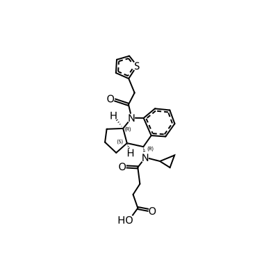 O=C(O)CCC(=O)N(C1CC1)[C@H]1c2ccccc2N(C(=O)Cc2cccs2)[C@@H]2CCC[C@@H]21